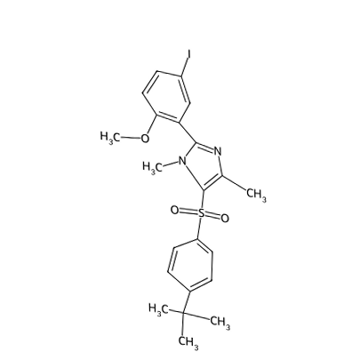 COc1ccc(I)cc1-c1nc(C)c(S(=O)(=O)c2ccc(C(C)(C)C)cc2)n1C